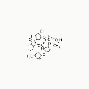 C#CC(C)Oc1cc(N2C(=O)C3=C(CCCC3)C2=O)c(F)cc1Cl.CC(Oc1ccc(Oc2ccc(C(F)(F)F)cn2)cc1)C(=O)O